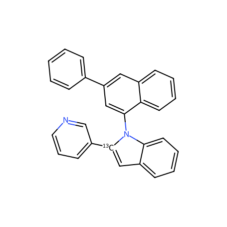 c1ccc(-c2cc(-n3c4ccccc4c[13c]3-c3cccnc3)c3ccccc3c2)cc1